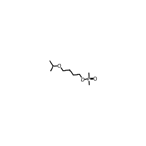 CC(C)OCCCCOP(C)(C)=O